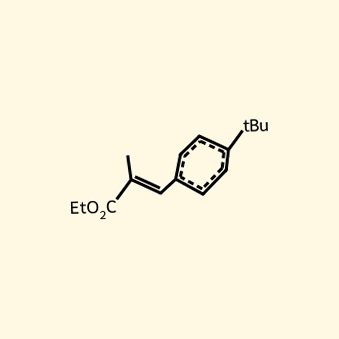 CCOC(=O)/C(C)=C/c1ccc(C(C)(C)C)cc1